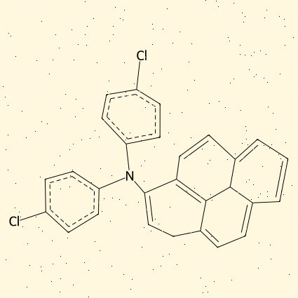 Clc1ccc(N(C2=CCC3=CC=C4C=CC=C5C=CC2=C3C54)c2ccc(Cl)cc2)cc1